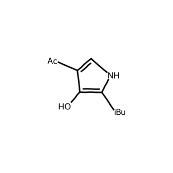 CCC(C)c1[nH]cc(C(C)=O)c1O